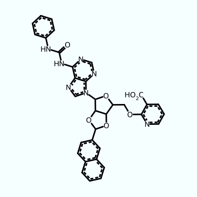 O=C(Nc1ccccc1)Nc1ncnc2c1ncn2C1OC(COc2ncccc2C(=O)O)C2OC(c3ccc4ccccc4c3)OC21